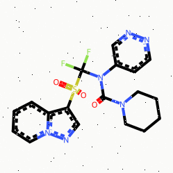 O=C(N1CCCCC1)N(c1ccnnc1)C(F)(F)S(=O)(=O)c1cnn2ccccc12